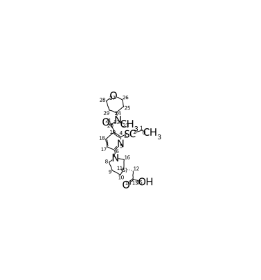 CCCSc1nc(N2CCC[C@@H](CC(=O)O)C2)ccc1C(=O)N(C)C1CCOCC1